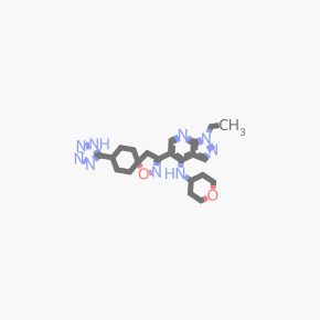 CCn1ncc2c(NC3CCOCC3)c(C3=NOC4(CCC(c5nnn[nH]5)CC4)C3)cnc21